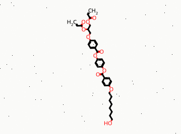 C=CC(=O)OCC(COc1ccc(C(=O)Oc2ccc(OC(=O)c3ccc(OCCCCCCCCO)cc3)cc2)cc1)OC(=O)C=C